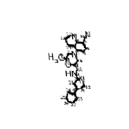 C[C@@H]1CN(c2ccc(C#N)c3ncccc23)C[C@@H](CNc2cc(-c3ccccc3)ccn2)O1